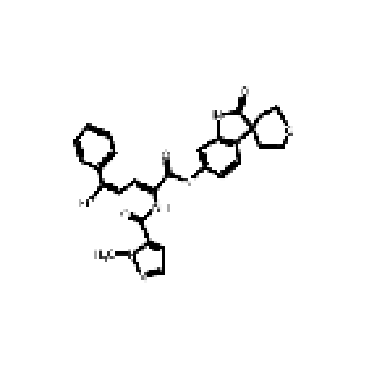 CCC(=CC=C(NC(=O)c1ccnn1C)C(=O)Nc1ccc2c(c1)NC(=O)C21CCOCC1)c1ccccc1